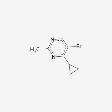 Cc1ncc(Br)c(C2CC2)n1